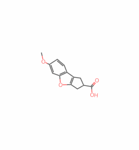 COc1ccc2c3c(oc2c1)CC(C(=O)O)C3